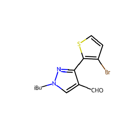 CCC(C)n1cc(C=O)c(-c2sccc2Br)n1